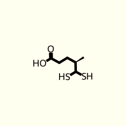 C[C@H](CCC(=O)O)C(S)S